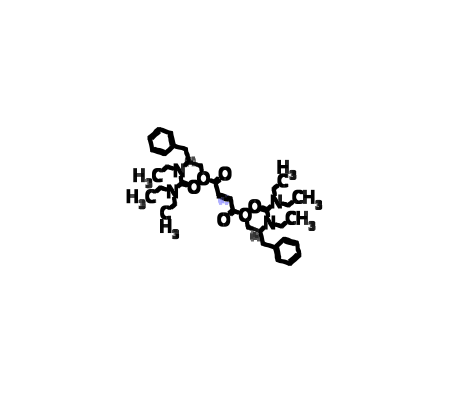 CCN(CC)C(=O)N(CC)[C@H](COC(=O)/C=C/C(=O)OC[C@H](Cc1ccccc1)N(CC)C(=O)N(CC)CC)Cc1ccccc1